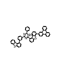 c1ccc(C2N=C(c3cccc(-c4cccc5sc6ccccc6c45)c3)N=C(c3cccc4sc5c(-c6ccc7c8ccccc8c8ccccc8c7c6)cccc5c34)N2)cc1